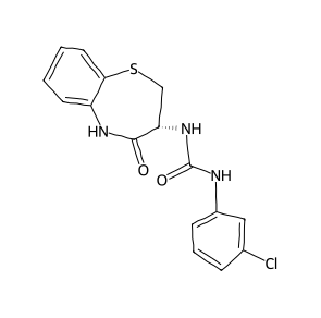 O=C(Nc1cccc(Cl)c1)N[C@H]1CSc2ccccc2NC1=O